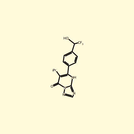 CC(C)c1c(-c2ccc(C(O)C(F)(F)F)cc2)[nH]c2ncnn2c1=O